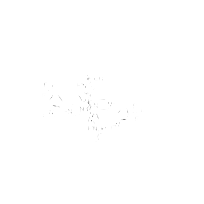 CS(=O)(=O)Nc1ccn(C(=O)N2CCN(Cc3cc(N4CCC(CS(=O)(=O)Nc5ccn(C(=O)N6CCN(Cc7ccc(C(F)(F)F)cc7N7CCCC7)CC6)n5)C4)cc(C(F)(F)F)c3)CC2)n1